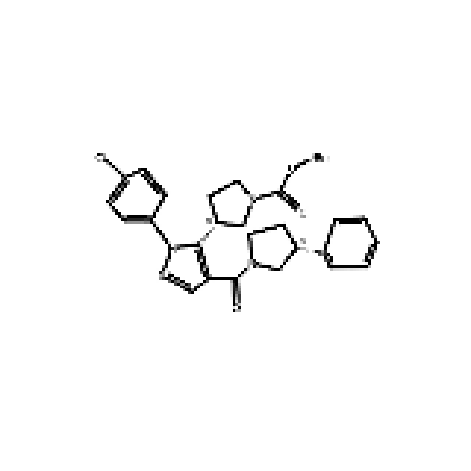 CC(C)(C)OC(=O)N1CC[C@@H](c2c(C(=O)N3CC[C@H](c4ccccc4)C3)cnn2-c2ccc(Cl)cc2)C1